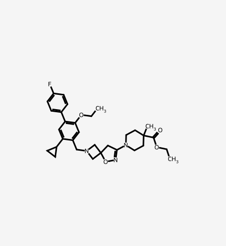 CCOC(=O)C1(C)CCN(C2=NOC3(C2)CN(Cc2cc(OCC)c(-c4ccc(F)cc4)cc2C2CC2)C3)CC1